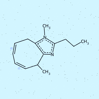 CCCc1nc2c(n1C)C/C=C\C=C/C2C